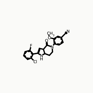 COc1cc(C#N)ccc1N1CCC2NC(c3c(F)cccc3Cl)=CC2C1=O